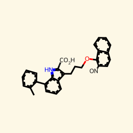 Cc1ccccc1-c1cccc2c(CCCOc3c(N=O)ccc4ccccc34)c(C(=O)O)[nH]c12